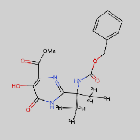 [2H]C([2H])([2H])C(NC(=O)OCc1ccccc1)(c1nc(C(=O)OC)c(O)c(=O)[nH]1)C([2H])([2H])[2H]